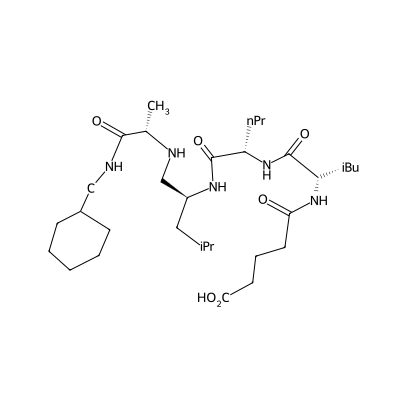 CCC[C@H](NC(=O)[C@@H](NC(=O)CCCC(=O)O)[C@@H](C)CC)C(=O)N[C@H](CN[C@@H](C)C(=O)NCC1CCCCC1)CC(C)C